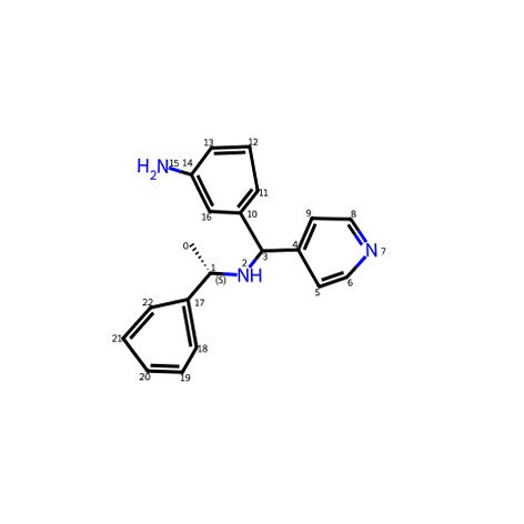 C[C@H](NC(c1ccncc1)c1cccc(N)c1)c1ccccc1